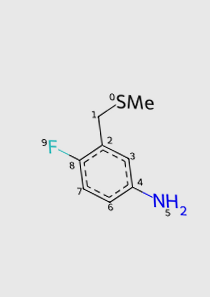 CSCc1cc(N)ccc1F